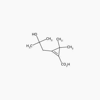 CC(C)(O)CC1=C(C(=O)O)C1(C)C